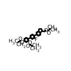 C=C(C)C(=O)OCC1CCc2cc(-c3ccc(-c4ccc(OC(=O)C(=C)C)cc4OC(=O)C(=C)C)cc3F)ccc21